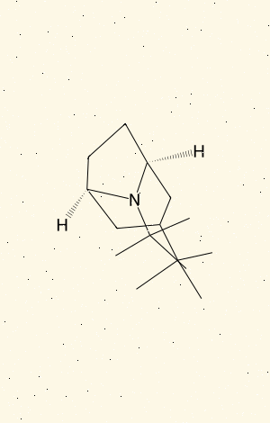 CC(C)(C)C1C[C@H]2CC[C@@H](C1)N2C(C)(C)C